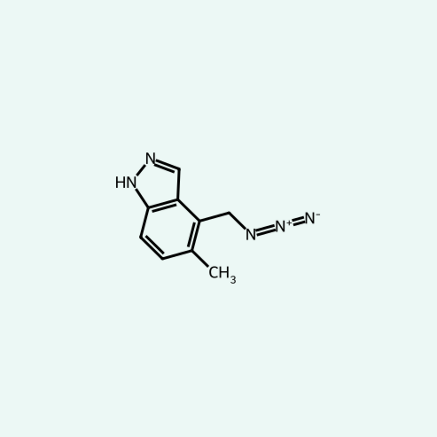 Cc1ccc2[nH]ncc2c1CN=[N+]=[N-]